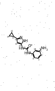 Nc1cccc(NC(=O)Nc2cc(C3CC3)n[nH]2)c1